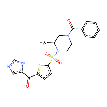 CC1CN(C(=O)c2ccccc2)CCN1S(=O)(=O)c1ccc(C(=O)c2cnc[nH]2)s1